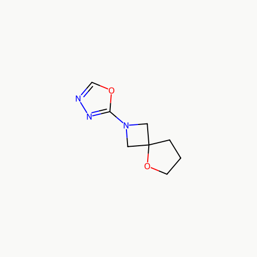 c1nnc(N2CC3(CCCO3)C2)o1